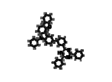 c1ccc(C2=NC(c3cccc(-c4ccc5c(c4)c4c6oc7ccccc7c6ccc4n5-c4ccccc4)c3)NC(c3ccccc3)N2)cc1